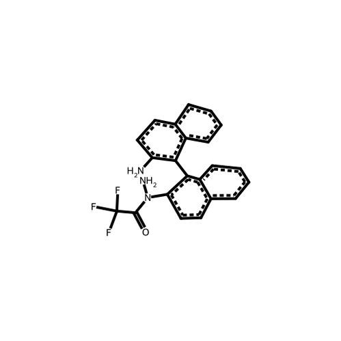 Nc1ccc2ccccc2c1-c1c(N(N)C(=O)C(F)(F)F)ccc2ccccc12